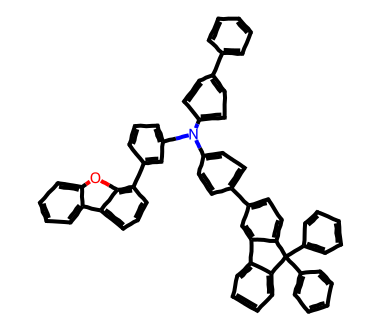 c1ccc(-c2ccc(N(c3ccc(-c4ccc5c(c4)-c4ccccc4C5(c4ccccc4)c4ccccc4)cc3)c3cccc(-c4cccc5c4oc4ccccc45)c3)cc2)cc1